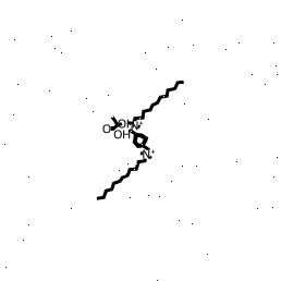 CC(O)C(=O)O.CCCCCCCCCCCC[N+](C)(C)Cc1ccc(C[N+](C)(C)CCCCCCCCCCCC)cc1